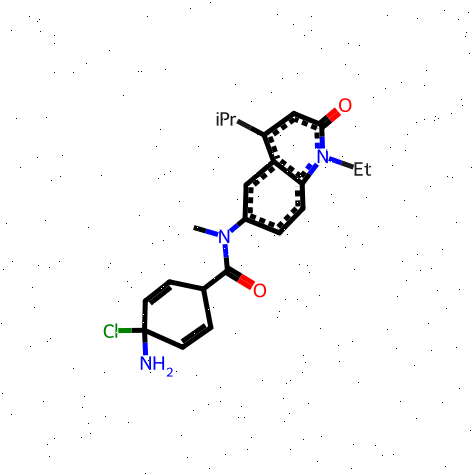 CCn1c(=O)cc(C(C)C)c2cc(N(C)C(=O)C3C=CC(N)(Cl)C=C3)ccc21